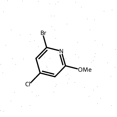 COc1cc(Cl)cc(Br)n1